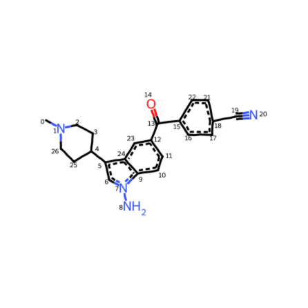 CN1CCC(c2cn(N)c3ccc(C(=O)c4ccc(C#N)cc4)cc23)CC1